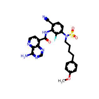 COc1ccc(CCCCN(c2ccc(C#N)c(NC(=O)c3ccnc4c(N)ncnc34)c2F)[SH](=O)=O)cc1